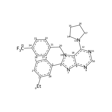 CCc1cccc(-c2nc3ncnc(N4CCCC4)c3n2Cc2ccc(C(F)(F)F)cc2)c1